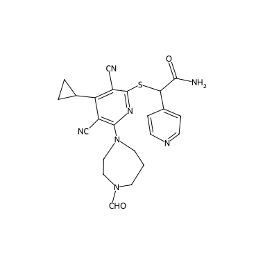 N#Cc1c(SC(C(N)=O)c2ccncc2)nc(N2CCCN(C=O)CC2)c(C#N)c1C1CC1